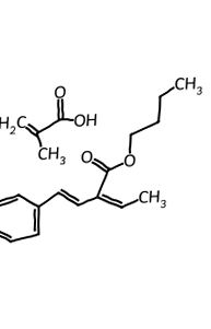 C=C(C)C(=O)O.CC=C(C=Cc1ccccc1)C(=O)OCCCC